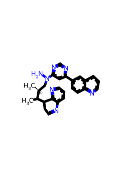 CC(C1CC=Nc2cccnc21)[C@H](C)CN(N)c1cc(-c2ccc3ncccc3c2)ncn1